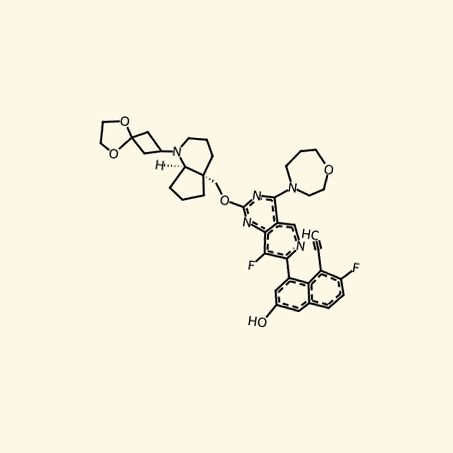 C#Cc1c(F)ccc2cc(O)cc(-c3ncc4c(N5CCCOCC5)nc(OC[C@]56CCC[C@H]5N(C5CC7(C5)OCCO7)CCC6)nc4c3F)c12